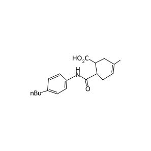 CCCCc1ccc(NC(=O)C2CC=C(C)CC2C(=O)O)cc1